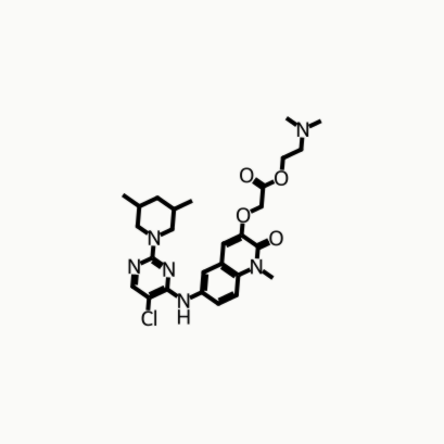 CC1CC(C)CN(c2ncc(Cl)c(Nc3ccc4c(c3)cc(OCC(=O)OCCN(C)C)c(=O)n4C)n2)C1